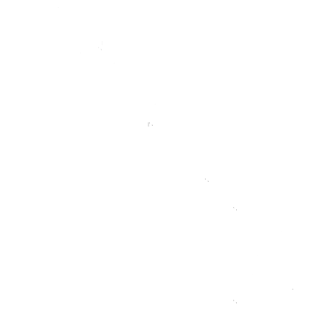 Cc1c(C=O)c(-c2cccc(N3CCN(c4ccc(NSC5C=C(S(=O)(=O)C(F)(F)F)C(NSc6ccccc6)CC5)cc4F)CC3)c2)c(-c2ccc(Cl)cc2)n1C